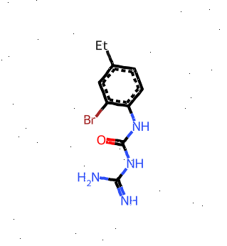 CCc1ccc(NC(=O)NC(=N)N)c(Br)c1